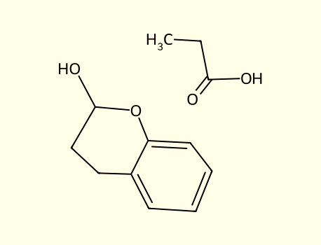 CCC(=O)O.OC1CCc2ccccc2O1